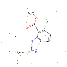 COC(=O)c1c(Cl)ccc2[nH]c(SC)nc12